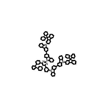 c1ccc(-c2ccccc2-c2cccc(-c3cc(-c4cccc(-n5c6ccccc6c6cc(-c7ccc8c(c7)c7ccccc7n8-c7ccc8c(c7)C(c7ccccc7)(c7ccccc7)c7ccccc7-8)ccc65)c4)nc(-n4c5ccccc5c5cc(-c6ccc7c(c6)c6ccccc6n7-c6ccc7c(c6)C(c6ccccc6)(c6ccccc6)c6ccccc6-7)ccc54)n3)c2)cc1